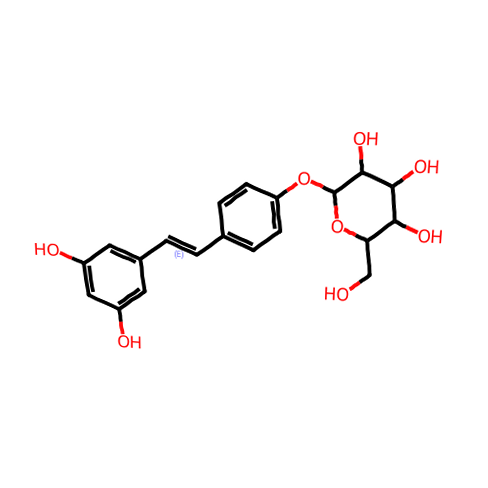 OCC1OC(Oc2ccc(/C=C/c3cc(O)cc(O)c3)cc2)C(O)C(O)C1O